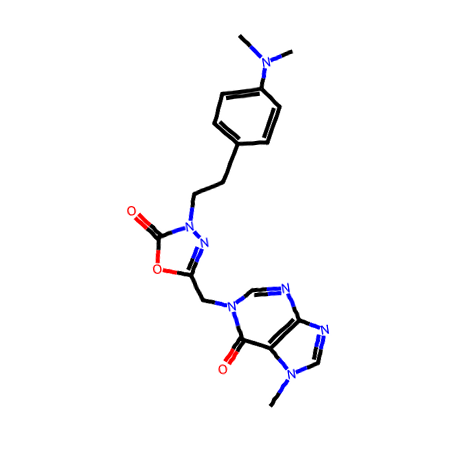 CN(C)c1ccc(CCn2nc(Cn3cnc4ncn(C)c4c3=O)oc2=O)cc1